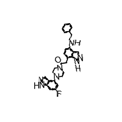 O=C(Cc1ccc(NCCc2ccccc2)c2cn[nH]c12)N1CCN(c2cc(F)cc3[nH]ncc23)CC1